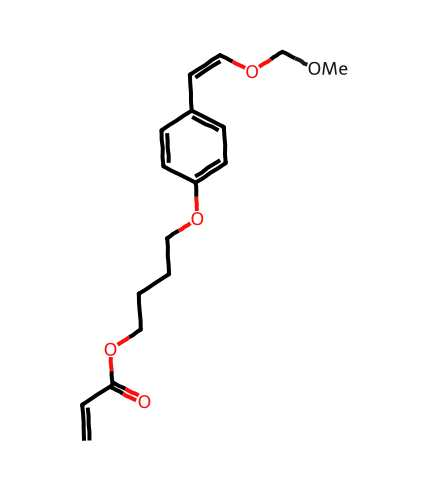 C=CC(=O)OCCCCOc1ccc(/C=C\OCOC)cc1